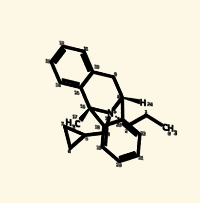 CCC[N@@+]1(CC2CC2)[C@@H]2Cc3ccccc3[C@@]1(C)c1ccccc12